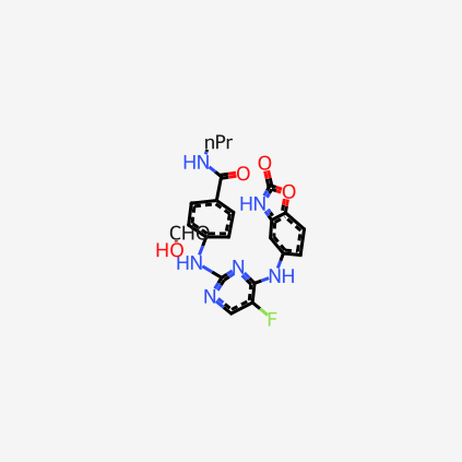 CCCNC(=O)c1ccc(Nc2ncc(F)c(Nc3ccc4oc(=O)[nH]c4c3)n2)cc1.O=CO